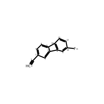 C#Cc1ccc2c(c1)-c1cc(F)ccc1-2